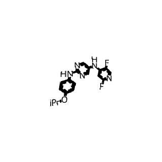 CC(C)Oc1ccc(Nc2ncc(Nc3cc(F)ncc3F)cn2)cc1